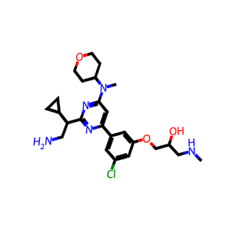 CNCC(O)COc1cc(Cl)cc(-c2cc(N(C)C3CCOCC3)nc(C(CN)C3CC3)n2)c1